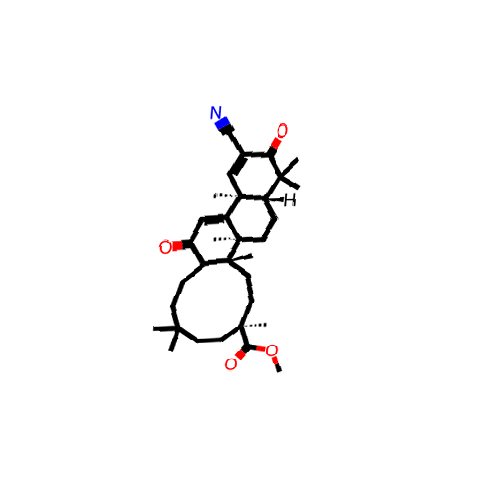 COC(=O)[C@@]1(C)CCC(C)(C)CCC2C(=O)C=C3[C@@]4(C)C=C(C#N)C(=O)C(C)(C)[C@@H]4CC[C@@]3(C)[C@]2(C)CC1